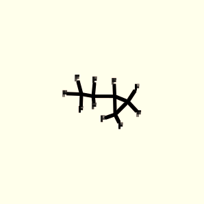 FC(F)(F)C(F)(F)C1(F)C(F)(F)C1(F)F